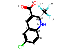 O=C(O)C1=Cc2cc(Cl)ccc2N[C@H]1C(F)(F)F